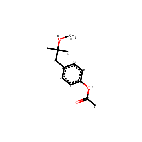 CC(=O)Oc1ccc(CC(C)(C)O[SiH3])cc1